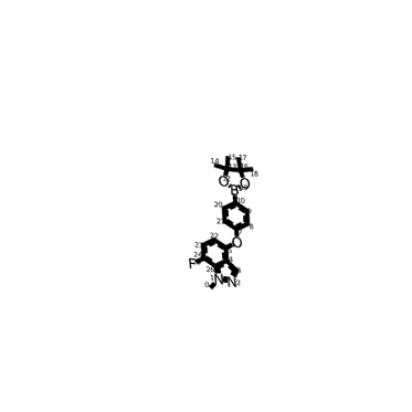 Cn1ncc2c(Oc3ccc(B4OC(C)(C)C(C)(C)O4)cc3)ccc(F)c21